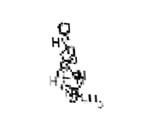 Cc1noc(C)c1Cn1cc(N2C(=O)CC(CC(=O)NCc3ccccc3)C2=O)cn1